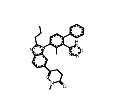 CCCc1nc2ccc(C3=NN(C)C(=O)CC3)cc2n1-c1ccc(-c2ccccc2)c(-c2nnn[nH]2)c1C